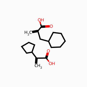 C=C(C(=O)O)C1CCCC1.C=C(CC1CCCCC1)C(=O)O